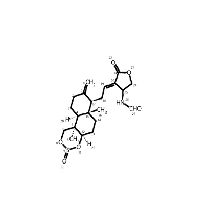 C=C1CC[C@@H]2[C@]3(C)COS(=O)O[C@@H]3CC[C@@]2(C)[C@@H]1C/C=C1/C(=O)OCC1NC=O